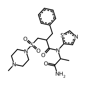 CC(C(N)=O)N(C(=O)C(Cc1ccccc1)CS(=O)(=O)N1CCN(C)CC1)c1cncs1